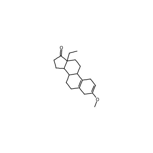 CCC12CCC3C4=C(CCC3C1CCC2=O)CC(OC)=CC4